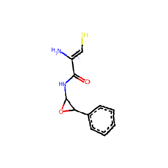 N/C(=C\S)C(=O)NC1OC1c1ccccc1